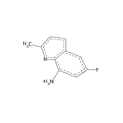 Cc1ccc2cc(F)cc(N)c2n1